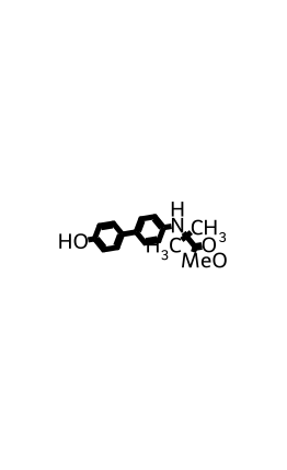 COC(=O)C(C)(C)Nc1ccc(-c2ccc(O)cc2)cc1